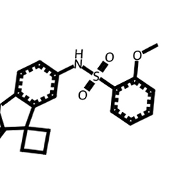 COc1ccccc1S(=O)(=O)Nc1ccc2c(c1)C1(CCC1)C(=O)N2